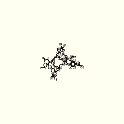 CCCC(C(=O)OCC)N1CCN(CC(=O)OC(C)(C)C)CCN(C(Cc2ccc(OCC)cc2)C(=O)OCC)CCN(CC(=O)OC(C)(C)C)CC1